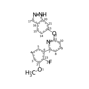 COc1cccc(-c2cccc(Oc3ccc4cn[nH]c4c3)n2)c1F